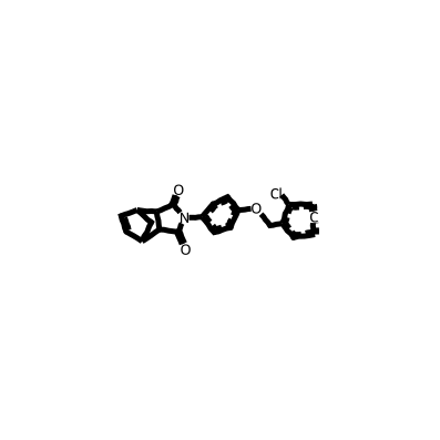 O=C1C2C3C=CC(C3)C2C(=O)N1c1ccc(OCc2ccccc2Cl)cc1